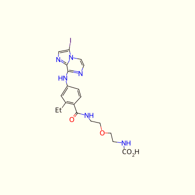 CCc1cc(Nc2nccn3c(I)cnc23)ccc1C(=O)NCCOCCNC(=O)O